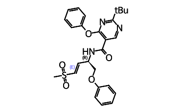 CC(C)(C)c1ncc(C(=O)N[C@H](/C=C/S(C)(=O)=O)COc2ccccc2)c(Oc2ccccc2)n1